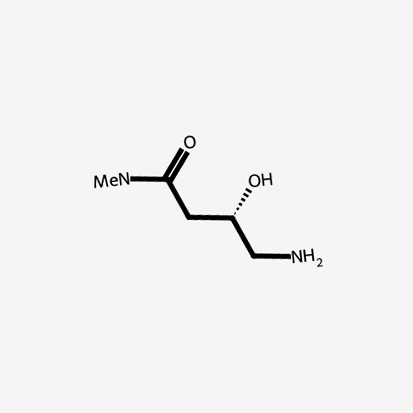 CNC(=O)C[C@H](O)CN